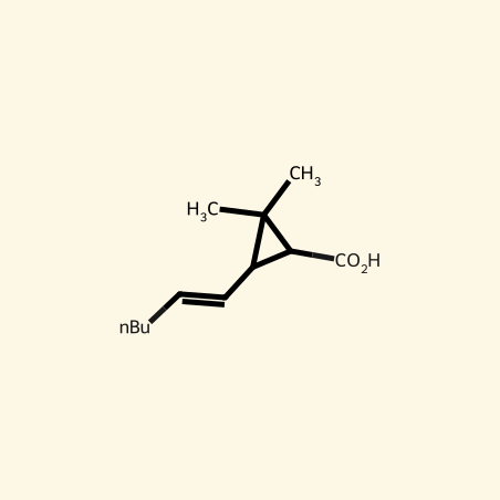 CCCC/C=C/C1C(C(=O)O)C1(C)C